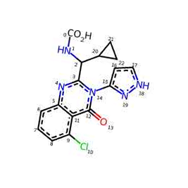 O=C(O)NC(c1nc2cccc(Cl)c2c(=O)n1-c1cc[nH]n1)C1CC1